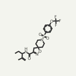 C=C(C)C(CC)NC(=O)C1=NOC2(CCN(S(=O)(=O)c3ccc(OC(F)(F)F)cc3)CC2)C1